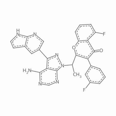 CC(c1oc2cccc(F)c2c(=O)c1-c1cccc(F)c1)n1nc(-c2cnc3[nH]ccc3c2)c2c(N)ncnc21